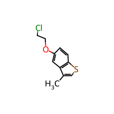 Cc1csc2ccc(OCCCl)cc12